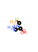 Nc1cc(-c2cc(C(=O)O)ccc2Nc2cccc(C(F)(F)P)c2)ccn1